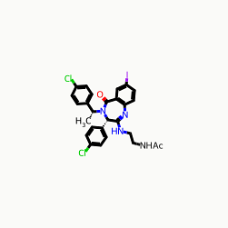 CC(=O)NCCNC1=Nc2ccc(I)cc2C(=O)N([C@H](C)c2ccc(Cl)cc2)[C@H]1c1ccc(Cl)cc1